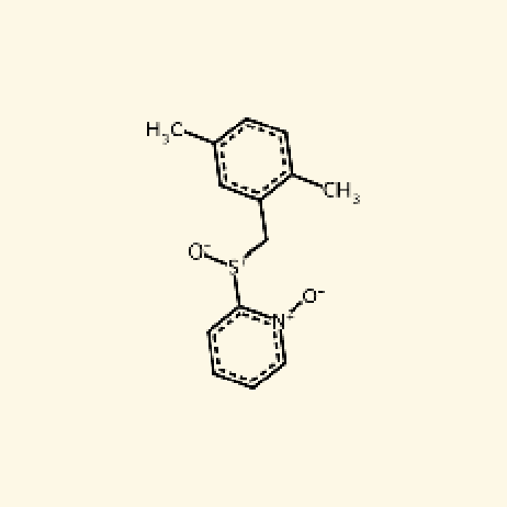 Cc1ccc(C)c(C[S+]([O-])c2cccc[n+]2[O-])c1